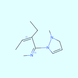 C/C=C(CC)\C(=N/C)N1C=CCN1C